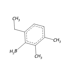 Bc1c(CC)ccc(C)c1C